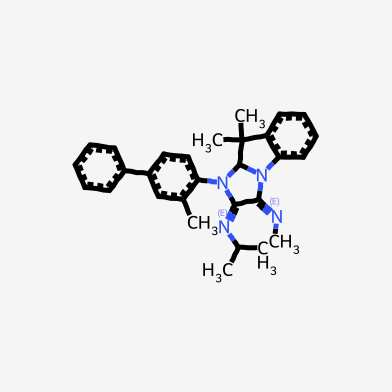 C/N=C1\C(=N/C(C)C)N(c2ccc(-c3ccccc3)cc2C)C2N1c1ccccc1C2(C)C